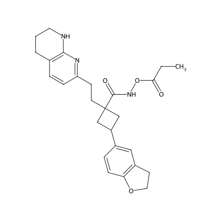 CCC(=O)ONC(=O)C1(CCc2ccc3c(n2)NCCC3)CC(c2ccc3c(c2)CCO3)C1